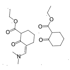 CCOC(=O)C1CCCC(=CN(C)C)C1=O.CCOC(=O)C1CCCCC1=O